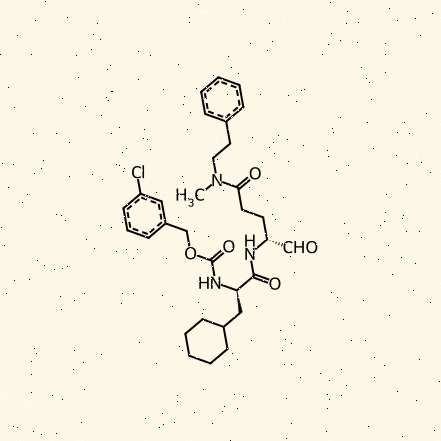 CN(CCc1ccccc1)C(=O)CC[C@H](C=O)NC(=O)[C@@H](CC1CCCCC1)NC(=O)OCc1cccc(Cl)c1